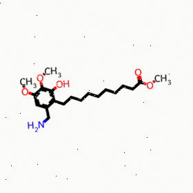 COC(=O)CCCCCCCCCc1c(CN)cc(OC)c(OC)c1O